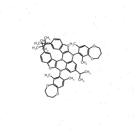 Cc1cc2c(c(C)c1N1c3cc(C(C)C)cc4c3B(c3c1oc1ccc(C(C)(C)C)cc31)c1c(oc3ccc(C(C)(C)C)cc13)N4c1c(C)cc3c(c1C)OCCCO3)OCCCO2